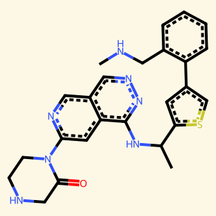 CNCc1ccccc1-c1csc(C(C)Nc2nncc3cnc(N4CCNCC4=O)cc23)c1